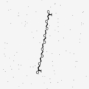 O=C(I)CCOCCOCCOCCOCCOCCOCCOCCC(=O)I